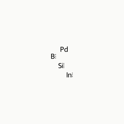 [B].[In].[Pd].[Si]